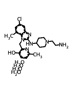 Cc1ccc(O)c(Cn2c(NC3CCN(CCN)CC3)nc3cc(Cl)cc(C)c32)n1.O.O.O.O